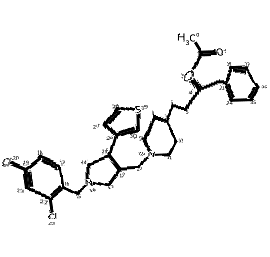 CC(=O)OC(CCC1CCN(CC2CN(Cc3ccc(Cl)cc3Cl)CC2c2ccsc2)CC1)c1ccccc1